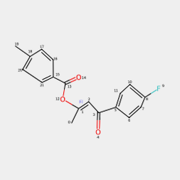 C/C(=C\C(=O)c1ccc(F)cc1)OC(=O)c1ccc(C)cc1